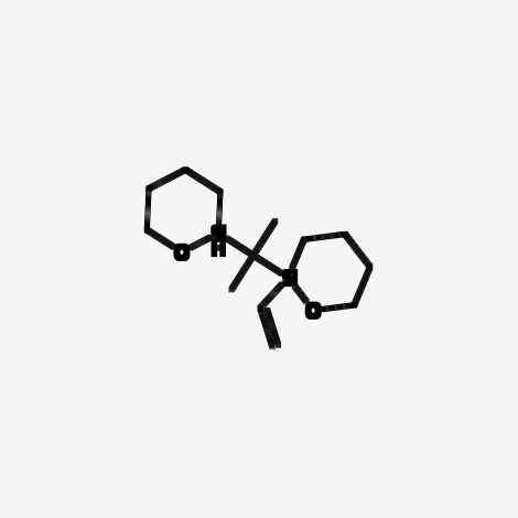 C=C[Si]1(C(C)(C)[SiH]2CCCCO2)CCCCO1